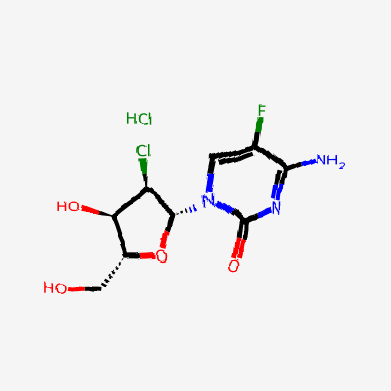 Cl.Nc1nc(=O)n([C@@H]2O[C@H](CO)[C@@H](O)[C@H]2Cl)cc1F